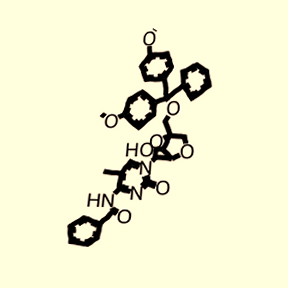 COc1ccc(C(OCC23COC(C(n4cc(C)c(NC(=O)c5ccccc5)nc4=O)O2)C3O)(c2ccccc2)c2ccc(OC)cc2)cc1